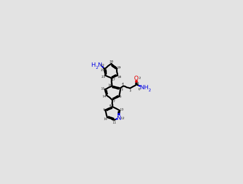 NC(=O)CCc1cc(-c2cccnc2)ccc1-c1cccc(N)c1